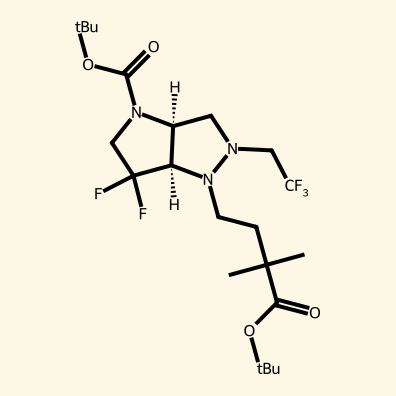 CC(C)(C)OC(=O)N1CC(F)(F)[C@H]2[C@@H]1CN(CC(F)(F)F)N2CCC(C)(C)C(=O)OC(C)(C)C